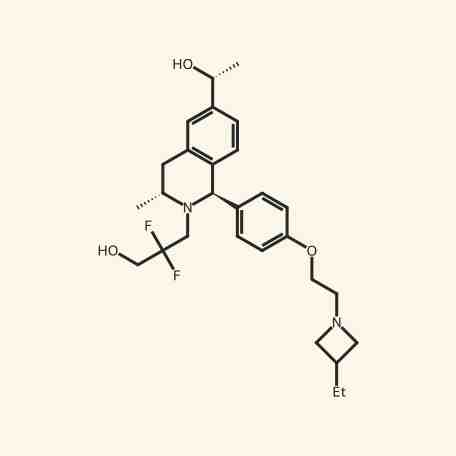 CCC1CN(CCOc2ccc([C@@H]3c4ccc([C@@H](C)O)cc4C[C@@H](C)N3CC(F)(F)CO)cc2)C1